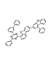 c1ccc(-c2cccc(-c3nc(-c4ccccc4)nc(-c4cccc5c4sc4ccc(-c6cc(-c7ccccc7)c7c(c6)oc6ccccc67)cc45)n3)c2)cc1